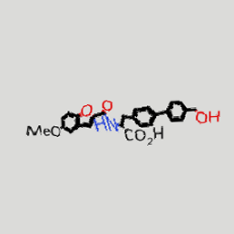 COc1ccc2oc(C(=O)NC(Cc3ccc(-c4ccc(CO)cc4)cc3)C(=O)O)cc2c1